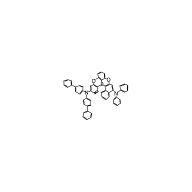 C1=CC2C(N(c3ccc(-c4ccccc4)cc3)c3ccc(-c4ccccc4)cc3)=CC3=C(B4c5c(cccc5Oc5cc(N(c6ccccc6)c6ccccc6)c6ccccc6c54)O3)C2C=C1